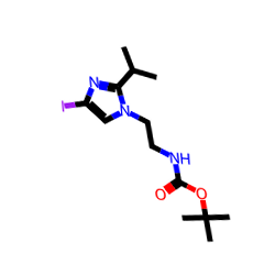 CC(C)c1nc(I)cn1CCNC(=O)OC(C)(C)C